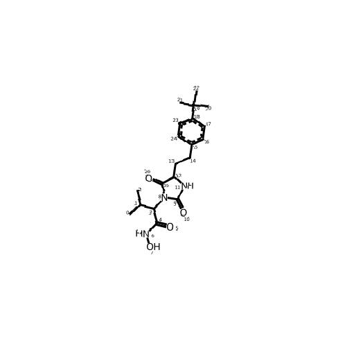 CC(C)C(C(=O)NO)N1C(=O)NC(CCc2ccc(C(C)(C)C)cc2)C1=O